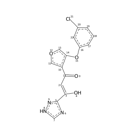 O=C(C=C(O)c1nc[nH]n1)c1cocc1Oc1cccc(Cl)c1